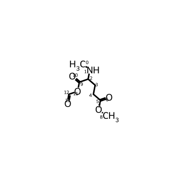 CNC(CCC(=O)OC)C(=O)OC=O